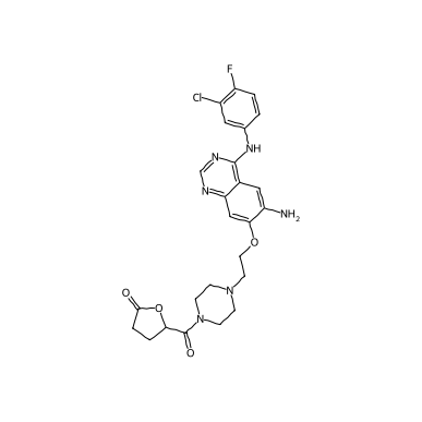 Nc1cc2c(Nc3ccc(F)c(Cl)c3)ncnc2cc1OCCN1CCN(C(=O)C2CCC(=O)O2)CC1